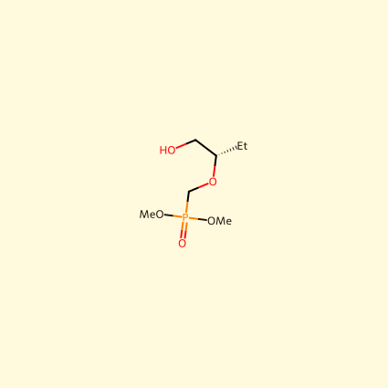 CC[C@@H](CO)OCP(=O)(OC)OC